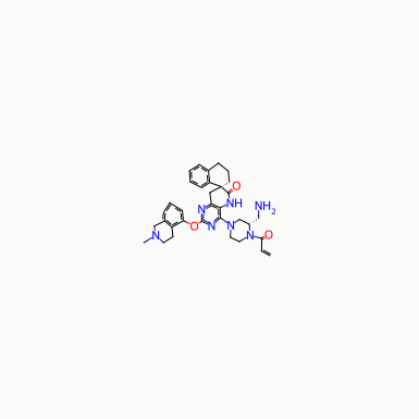 C=CC(=O)N1CCN(c2nc(Oc3cccc4c3CCN(C)C4)nc3c2NC(=O)[C@@]2(CCCc4ccccc42)C3)C[C@@H]1CN